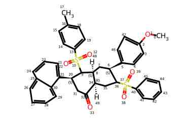 COc1ccc([C@@H]2C[C@@H]3C(S(=O)(=O)c4ccc(C)cc4)[C@H](c4cccc5ccccc45)CC(=O)[C@@H]3CC2S(=O)(=O)c2ccccc2)cc1